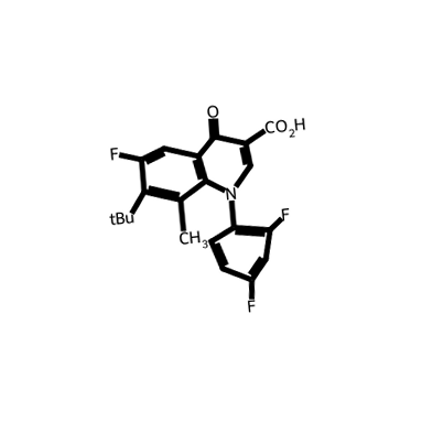 Cc1c(C(C)(C)C)c(F)cc2c(=O)c(C(=O)O)cn(-c3ccc(F)cc3F)c12